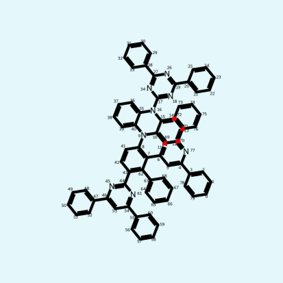 c1ccc(-c2cc(-c3c(N4c5ccccc5N(c5nc(-c6ccccc6)nc(-c6ccccc6)n5)c5ccccc54)ccc(-c4nc(-c5ccccc5)cc(-c5ccccc5)n4)c3-c3ccccc3)nc(-c3ccccc3)n2)cc1